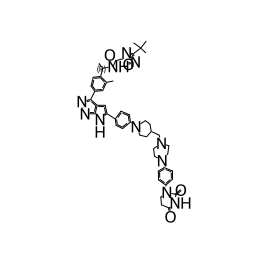 Cc1cc(-c2ncnc3[nH]c(-c4ccc(N5CCC(CN6CCN(c7ccc(N8CCC(=O)NC8=O)cc7)CC6)CC5)cc4)cc23)ccc1[C@@H](C)NC(=O)c1nc(C(C)(C)C)no1